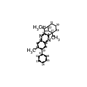 Cc1cc2nc3c(nc2cc1-c1ccccc1)C1(C)CCCC(C1)C3C